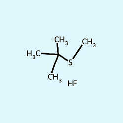 CSC(C)(C)C.F